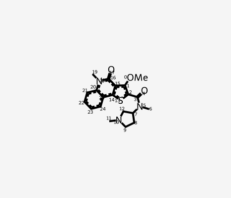 COc1c(C(=O)N(C)C2CCN(C)C2)sc2c1c(=O)n(C)c1ccccc21